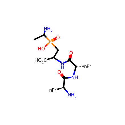 CCC[C@H](NC(=O)[C@@H](N)CCC)C(=O)NC(CP(=O)(O)C(C)N)C(=O)O